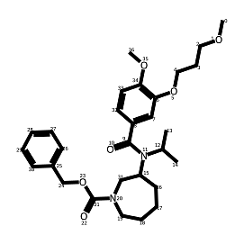 COCCCOc1cc(C(=O)N(C(C)C)C2CCCCN(C(=O)OCc3ccccc3)C2)ccc1OC